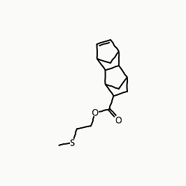 CSCCOC(=O)C1CC2CC1C1C3C=CC(C3)C21